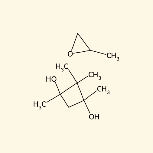 CC1(O)CC(C)(O)C1(C)C.CC1CO1